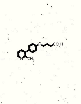 Cc1ncccc1-c1ccc(OCCCC(=O)O)cc1